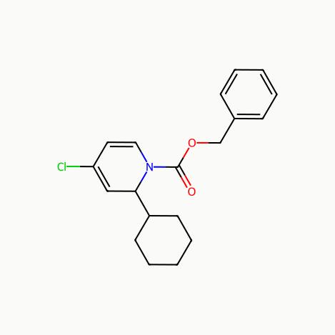 O=C(OCc1ccccc1)N1C=CC(Cl)=CC1C1CCCCC1